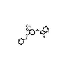 COc1cc(Cc2c[nH]c3ncccc23)ccc1OCc1ccccc1